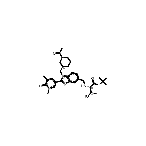 CC(=O)N1CCC[C@@H](Cn2c(-c3cc(C)c(=O)n(C)c3)nc3cc(CN[C@H](C(=O)OC(C)(C)C)[C@@H](C)O)ccc32)C1